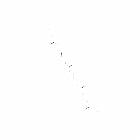 CCCCC(=O)CC/C=C/CCC(=O)CCCCCC(=O)CCCCC(C)=O